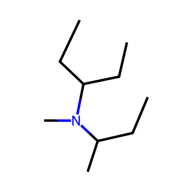 CCC(C)N(C)C(CC)CC